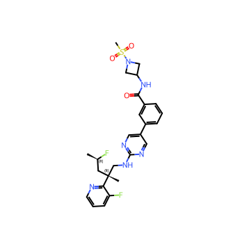 C[C@@H](F)C[C@](C)(CNc1ncc(-c2cccc(C(=O)NC3CN(S(C)(=O)=O)C3)c2)cn1)c1ncccc1F